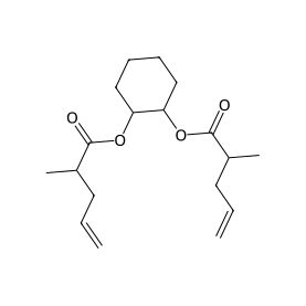 C=CCC(C)C(=O)OC1CCCCC1OC(=O)C(C)CC=C